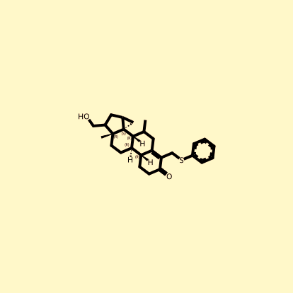 CC1CC2=C(CSc3ccccc3)C(=O)CC[C@@H]2[C@H]2CC[C@]3(C)C(CO)CC4C[C@@]43[C@H]12